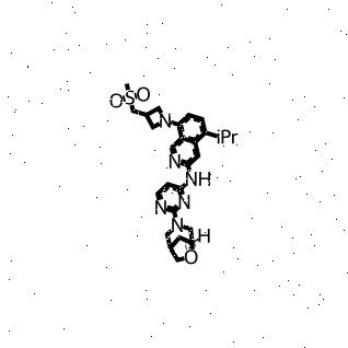 CC(C)c1ccc(N2CC(CS(C)(=O)=O)C2)c2cnc(Nc3ccnc(N4CC5CO[C@@H](C5)C4)n3)cc12